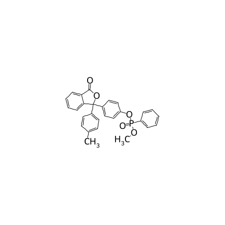 COP(=O)(Oc1ccc(C2(c3ccc(C)cc3)OC(=O)c3ccccc32)cc1)c1ccccc1